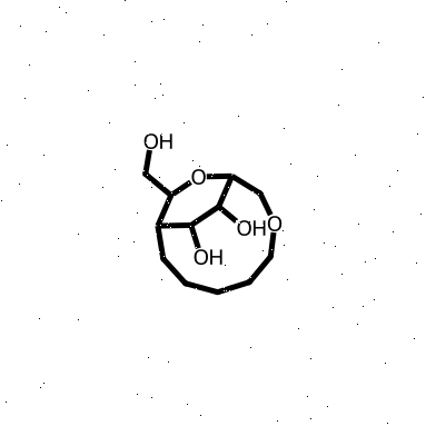 OCC1OC2COCCCCCC1C(O)C2O